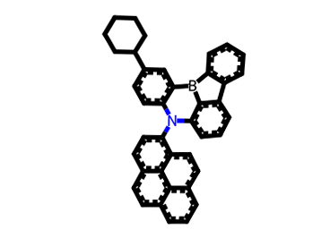 c1ccc2c(c1)B1c3cc(C4CCCCC4)ccc3N(c3ccc4ccc5cccc6ccc3c4c56)c3cccc-2c31